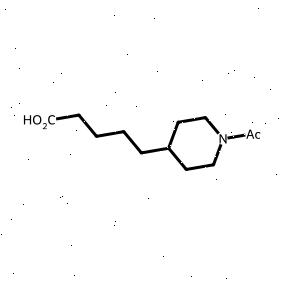 CC(=O)N1CCC(CCCCC(=O)O)CC1